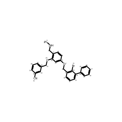 CC(C)NCc1ccc(OCc2cccc(-c3ccccc3)c2Br)cc1OCc1cccc(C#N)c1